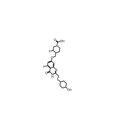 O=C(O)N1CCC(COc2cc(F)c3c(=O)[nH]c(CSC4CCC(O)CC4)nc3c2)C(F)C1